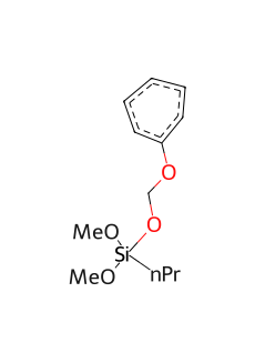 CCC[Si](OC)(OC)OCOc1ccccc1